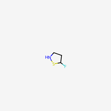 FC1CCNS1